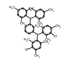 Cc1cc(C)c(B(c2cccc(B(c3c(C)cc(C)c(Cl)c3C)c3c(C)cc(C)c(Cl)c3C)c2)c2c(C)cc(C)cc2C)c(C)c1